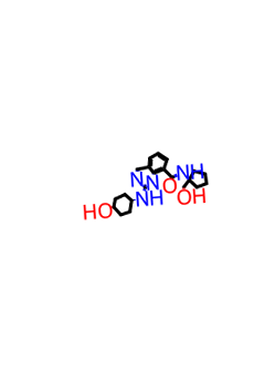 O=C(NC1(CO)CCCC1)c1cccc2cnc(N[C@H]3CC[C@H](O)CC3)nc12